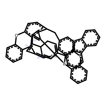 C1=CC(C2=C\C3=C\Nc4c5ccc6c4B(\C(=C\2)c2c(ccc4c2B3c2ccccc2O4)C5)c2ccccc2O6)CC=C1c1cccc2c1oc1ccccc12